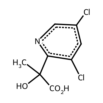 CC(O)(C(=O)O)c1ncc(Cl)cc1Cl